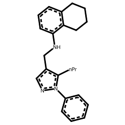 CCCc1c(CNc2cccc3c2CCCC3)cnn1-c1ccccc1